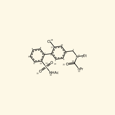 [CH2]CN(Cc1ccc(-c2ccccc2S(=O)(=O)NC(C)=O)c(Cl)c1)C(=O)CCC